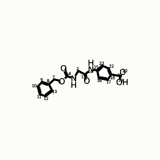 O=C(CNC(=O)OCc1ccccc1)Nc1ccc(C(=O)O)cc1